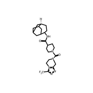 O=C(NC1CC[C@@H]2CC3CC1CC2C3)C1CCN(C(=O)N2CCn3c(nnc3C(F)(F)F)C2)CC1